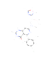 Cc1nc([C@H]2CN(c3cc4nc(C)n(C)c(=O)c4c(-c4ccc(Cl)cc4F)n3)CCO2)no1